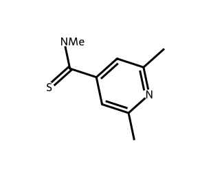 CNC(=S)c1cc(C)nc(C)c1